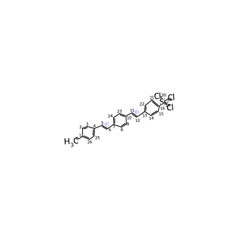 Cc1ccc(/C=C/c2ccc(/C=C/c3ccc([Si](Cl)(Cl)Cl)cc3)cc2)cc1